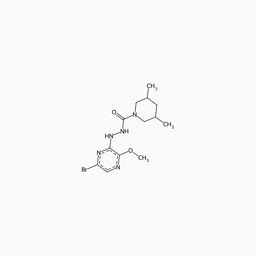 COc1ncc(Br)nc1NNC(=O)N1CC(C)CC(C)C1